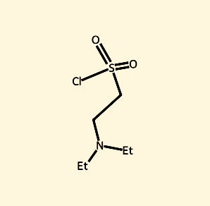 CCN(CC)CCS(=O)(=O)Cl